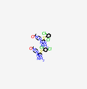 CC(=O)N1CCN(c2nc(N)ncc2Sc2c(Cl)cccc2Cl)CC1.CC(=O)N1CCN(c2nc(N)ncc2Sc2ccc(Cl)cc2Cl)CC1